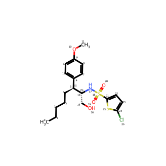 CCCCC[C@@H](c1ccc(OC)cc1)[C@@H](CO)NS(=O)(=O)c1ccc(Cl)s1